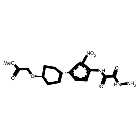 COC(=O)CO[C@H]1CC[C@H](c2ccc(NC(=O)C(=O)NN)c([N+](=O)[O-])c2)CC1